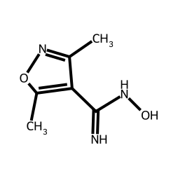 Cc1noc(C)c1C(=N)NO